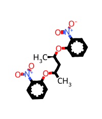 CC(C[C@@H](C)Oc1ccccc1[N+](=O)[O-])Oc1ccccc1[N+](=O)[O-]